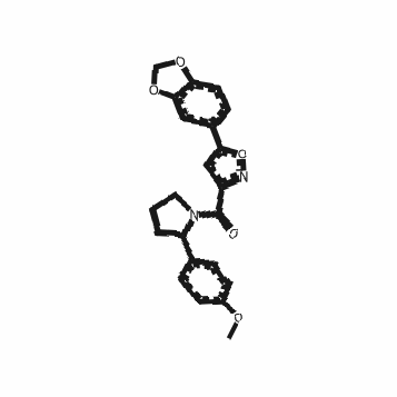 COc1ccc(C2CCCN2C(=O)c2cc(-c3ccc4c(c3)OCO4)on2)cc1